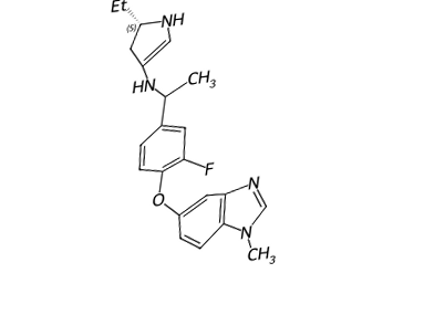 CC[C@H]1CC(NC(C)c2ccc(Oc3ccc4c(c3)ncn4C)c(F)c2)=CN1